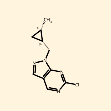 C[C@H]1C[C@H]1Cn1ncc2cnc(Cl)nc21